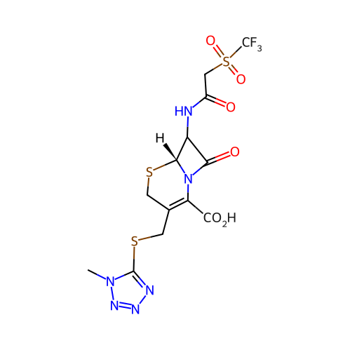 Cn1nnnc1SCC1=C(C(=O)O)N2C(=O)C(NC(=O)CS(=O)(=O)C(F)(F)F)[C@H]2SC1